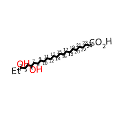 CCC(O)CCC(O)CCCCCCCCCCCCCCCCCCC(=O)O